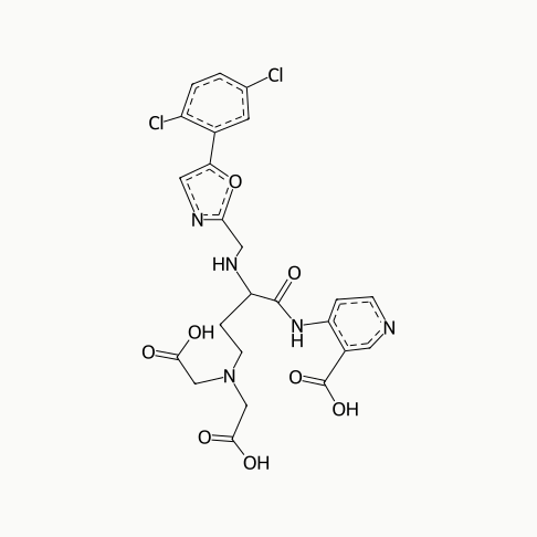 O=C(O)CN(CCC(NCc1ncc(-c2cc(Cl)ccc2Cl)o1)C(=O)Nc1ccncc1C(=O)O)CC(=O)O